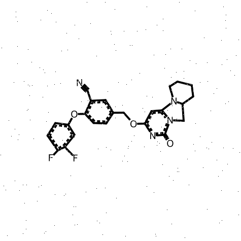 N#Cc1cc(COc2cc3n(c(=O)n2)CC2CCCCN32)ccc1Oc1ccc(F)c(F)c1